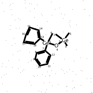 [CH3][Ge]([CH3])([CH3])[O][Ge]([CH3])([c]1ccccc1)[c]1ccccc1